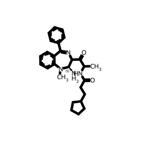 CC(NC(=O)CCC1CCCC1)C(=O)C1N=C(c2ccccc2)c2ccccc2N(C)[C@@H]1N